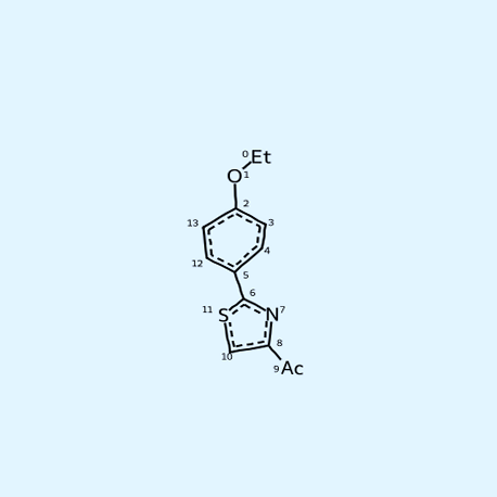 CCOc1ccc(-c2nc(C(C)=O)cs2)cc1